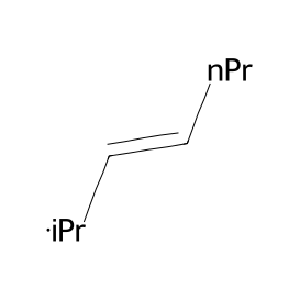 CCCC=C[C](C)C